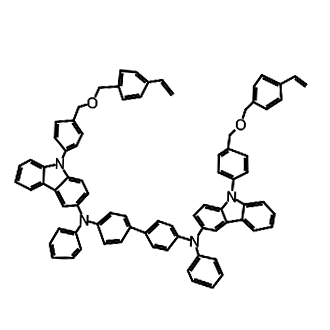 C=Cc1ccc(COCc2ccc(-n3c4ccccc4c4cc(N(c5ccccc5)c5ccc(-c6ccc(N(c7ccccc7)c7ccc8c(c7)c7ccccc7n8-c7ccc(COCc8ccc(C=C)cc8)cc7)cc6)cc5)ccc43)cc2)cc1